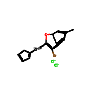 CC1=CC2O[C]([Zr+2][C]3=CC=CC3)=C(Br)C2=C1.[Cl-].[Cl-]